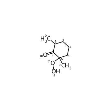 CC1CCCC(C)(OO)C1=O